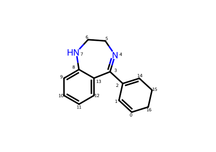 C1=CC(C2=NCCNc3ccccc32)=CCC1